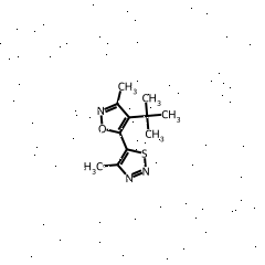 Cc1nnsc1-c1onc(C)c1C(C)(C)C